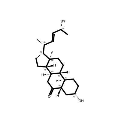 CC(C)[C@H](C)C=C[C@@H](C)[C@H]1CC[C@H]2[C@@H]3CC(=O)[C@H]4C[C@@H](O)CC[C@]4(C)[C@H]3CC[C@]12C